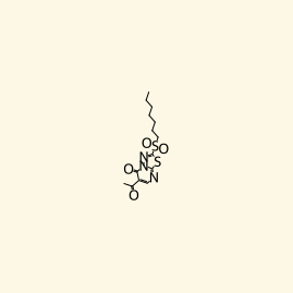 CCCCCCCS(=O)(=O)c1nn2c(=O)c(C(C)=O)cnc2s1